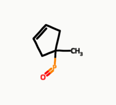 CC1(P=O)CC=CC1